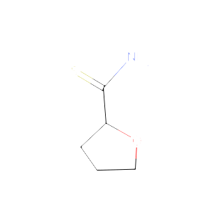 NC(=S)C1CCCO1